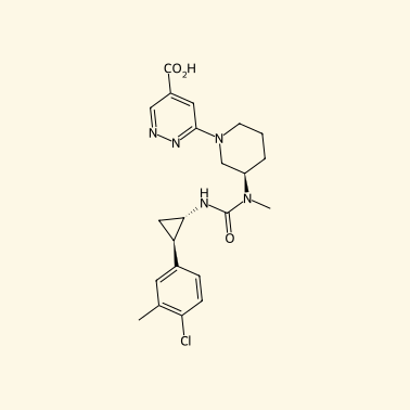 Cc1cc([C@H]2C[C@@H]2NC(=O)N(C)[C@@H]2CCCN(c3cc(C(=O)O)cnn3)C2)ccc1Cl